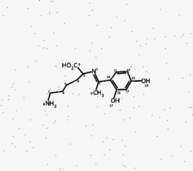 C/C(=N\C(CCCCN)C(=O)O)c1ccc(O)cc1O